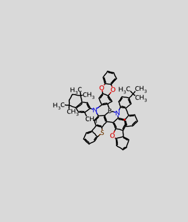 Cc1cc2c(cc1N1c3cc4c(cc3B3c5c1cc1c(sc6ccccc61)c5-c1c(ccc5c1oc1ccccc15)N3c1ccc(C(C)(C)C)cc1-c1ccccc1)Oc1ccccc1O4)C(C)(C)CCC2(C)C